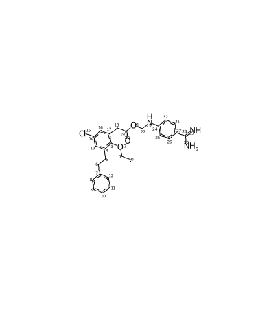 [CH2]COc1c(CCc2ccccc2)cc(Cl)cc1CC(=O)OCNc1ccc(C(=N)N)cc1